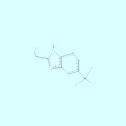 CCc1nc2cc(C(F)(F)F)ccc2n1C